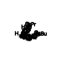 CCCS(=O)(=O)Nc1cccc2c(Oc3nnccc3-c3ccnc(N[C@H]4CCCN(C(=O)OC(C)(C)C)C4)n3)c(C)ccc12